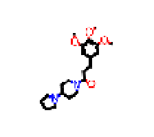 COc1cc(CCC(=O)N2CCC(N3CCCC3)CC2)cc(OC)c1OC